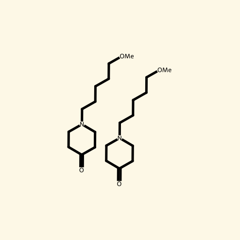 COCCCCCN1CCC(=O)CC1.COCCCCCN1CCC(=O)CC1